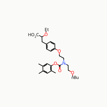 CCCCOCCN(CCOc1ccc(CC(OCC)C(=O)O)cc1)C(=O)Oc1cc(C)c(C)cc1C